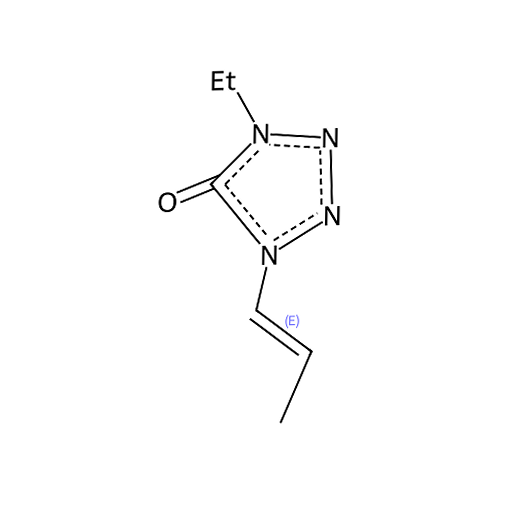 C/C=C/n1nnn(CC)c1=O